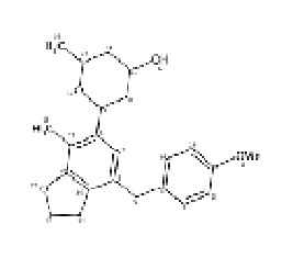 COc1ccc(Cc2cc(C3CC(O)CC(C)O3)c(C)c3c2CCO3)cc1